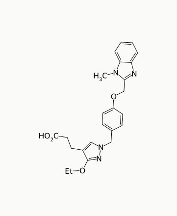 CCOc1nn(Cc2ccc(OCc3nc4ccccc4n3C)cc2)cc1CCC(=O)O